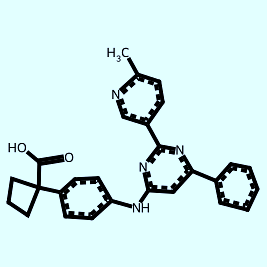 Cc1ccc(-c2nc(Nc3ccc(C4(C(=O)O)CCC4)cc3)cc(-c3ccccc3)n2)cn1